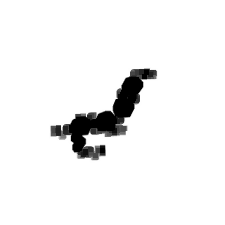 CCCc1cc(C(C)(C)c2ccc(C)c(CCCS(=O)(=O)O)c2)ccc1Oc1ccc(S(=O)(=O)c2ccc(OC)cc2)cc1